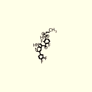 CCCS(=O)(=O)Nc1ccc(F)c(C(=O)c2c[nH]c3ncc(-c4ccc(F)c(F)c4)cc23)c1F